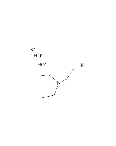 CCN(CC)CC.[K+].[K+].[OH-].[OH-]